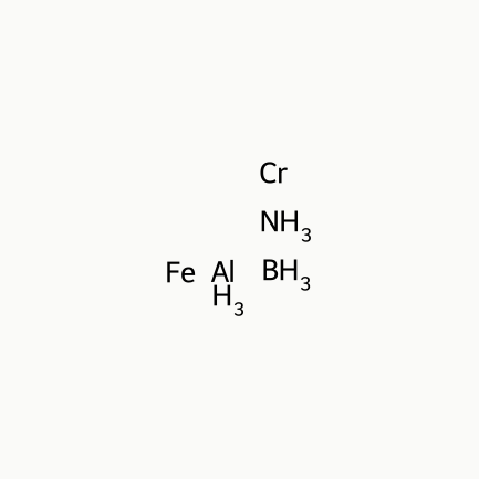 B.N.[AlH3].[Cr].[Fe]